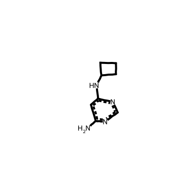 Nc1cc(NC2CCC2)ncn1